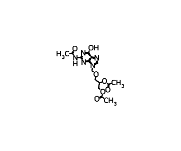 CC(=O)Nc1nc(O)c2ncn(COCC(COC(C)=O)OC(C)=O)c2n1